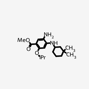 COC(=O)c1cc(N)c(NC2CCCC(C)(C)C2)cc1OC(C)C